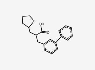 O=C(O)C(Cc1cccc(-c2ccccc2)c1)CC1CCCO1